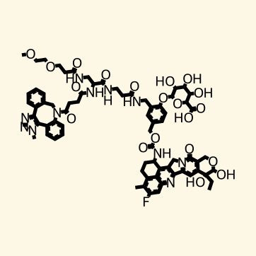 CCC1(O)c2cc3n(c(=O)c2COC1O)Cc1c-3nc2cc(F)c(C)c3c2c1C(NC(=O)OCc1ccc(OC2OC(C(=O)O)C(O)C(O)C2O)c(CNC(=O)CCNC(=O)C(CNC(=O)CCOCCOC)NC(=O)CCC(=O)N2Cc4ccccc4-c4nnn(C)c4-c4ccccc42)c1)CC3